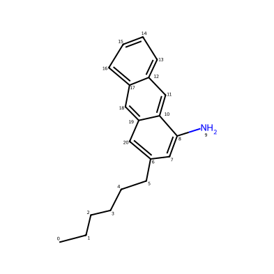 CCCCCCc1cc(N)c2cc3ccccc3cc2c1